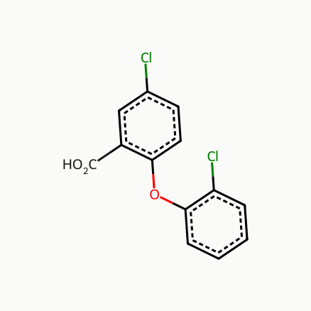 O=C(O)c1cc(Cl)ccc1Oc1ccccc1Cl